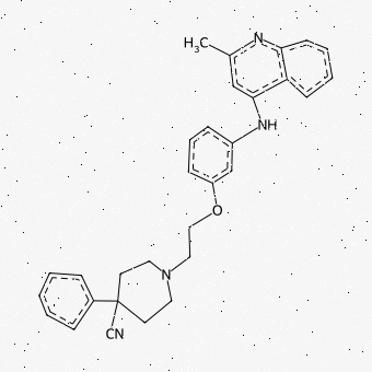 Cc1cc(Nc2cccc(OCCN3CCC(C#N)(c4ccccc4)CC3)c2)c2ccccc2n1